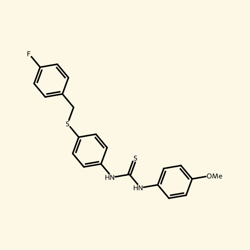 COc1ccc(NC(=S)Nc2ccc(SCc3ccc(F)cc3)cc2)cc1